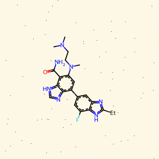 CCc1nc2cc(-c3cc(N(C)CCN(C)C)c(C(N)=O)c4[nH]cnc34)cc(F)c2[nH]1